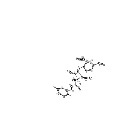 COc1ccc(CN2C(=O)[C@](C)(NC(=O)OCc3ccccc3)[C@@H]2NC(C)=O)c(OC)c1